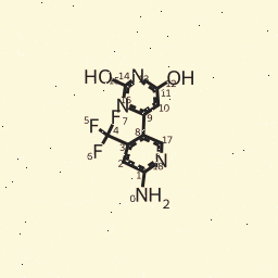 Nc1cc(C(F)(F)F)c(-c2cc(O)nc(O)n2)cn1